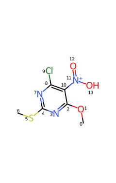 COc1nc(SC)nc(Cl)c1[N+](=O)O